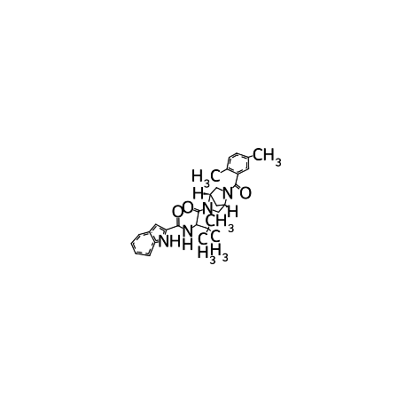 Cc1ccc(C)c(C(=O)N2C[C@@H]3C[C@H]2CN3C(=O)C(NC(=O)c2cc3ccccc3[nH]2)C(C)(C)C)c1